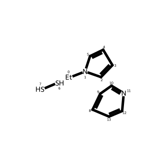 CCn1cccc1.SS.c1ccncc1